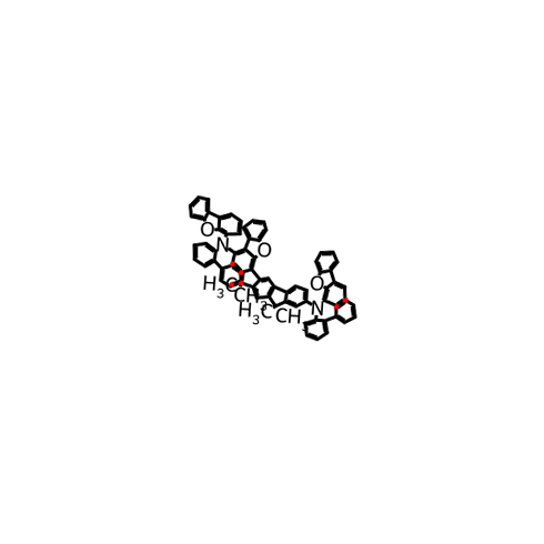 CC1(C)c2cc(N(c3ccccc3-c3ccccc3)c3cccc4c3oc3ccccc34)ccc2-c2cc3c(cc21)C(C)(C)c1cc(N(c2ccccc2-c2ccccc2)c2cccc4c2oc2ccccc24)c2c(oc4ccccc42)c1-3